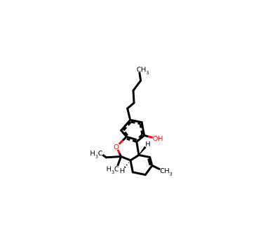 CCCCCc1cc(O)c2c(c1)OC(C)(CC)[C@@H]1CCC(C)=C[C@@H]21